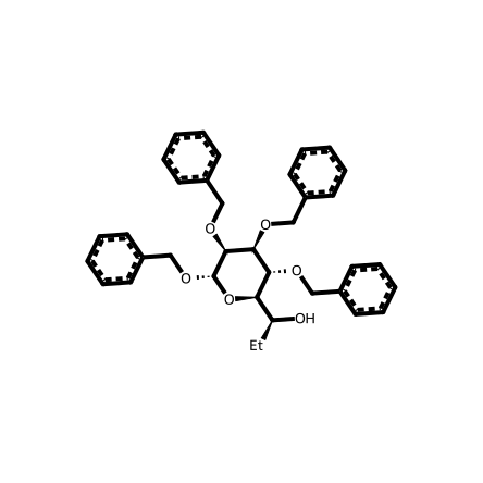 CC[C@H](O)[C@H]1O[C@H](OCc2ccccc2)[C@@H](OCc2ccccc2)[C@@H](OCc2ccccc2)[C@@H]1OCc1ccccc1